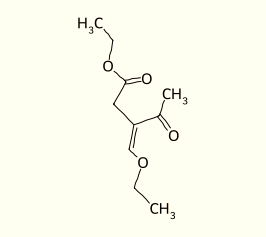 CCOC=C(CC(=O)OCC)C(C)=O